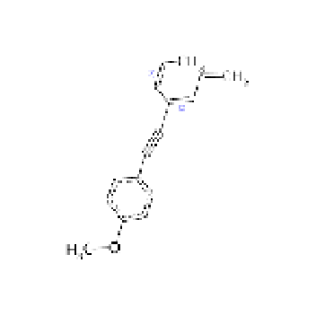 C=C/C=C(C#Cc1ccc(OC)cc1)\C=C/C